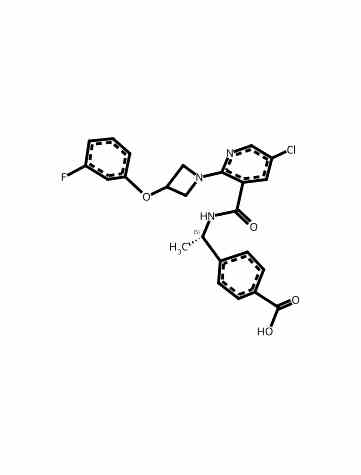 C[C@H](NC(=O)c1cc(Cl)cnc1N1CC(Oc2cccc(F)c2)C1)c1ccc(C(=O)O)cc1